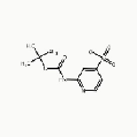 CC(C)(C)OC(=O)Nc1cc(S(=O)(=O)Cl)ccn1